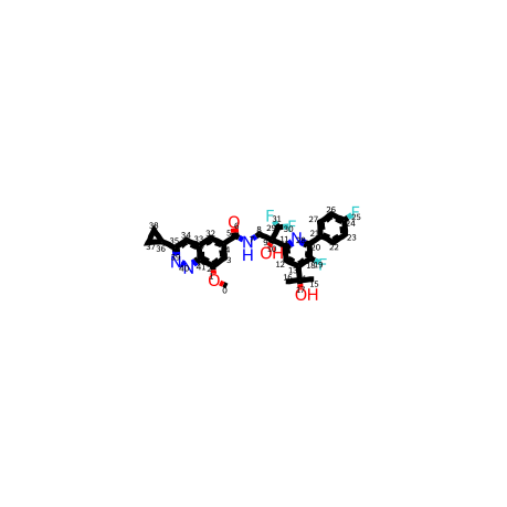 COc1cc(C(=O)NCC(O)(c2cc(C(C)(C)O)c(F)c(-c3ccc(F)cc3)n2)C(F)F)cc2cc(C3CC3)nnc12